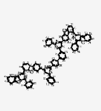 C1=CC2c3ccc(-c4cc(-c5ccccc5)nc(-c5ccc(-c6cccc(-c7cc(-c8ccc9c(c8)oc8cccc(-c%10nc(-c%11ccccc%11)c%11oc%12ccccc%12c%11n%10)c89)nc(-c8ccccc8)n7)c6)cc5)n4)cc3OC2C(c2nc(-c3ccccc3)c3oc4ccccc4c3n2)=C1